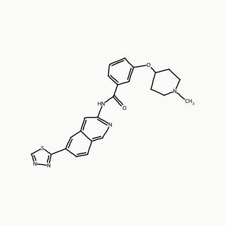 CN1CCC(Oc2cccc(C(=O)Nc3cc4cc(-c5nncs5)ccc4cn3)c2)CC1